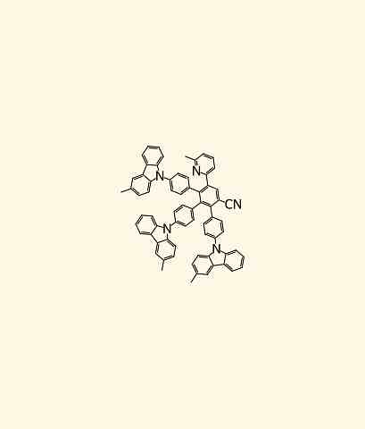 Cc1ccc2c(c1)c1ccccc1n2-c1ccc(-c2c(C#N)cc(-c3cccc(C)n3)c(-c3ccc(-n4c5ccccc5c5cc(C)ccc54)cc3)c2-c2ccc(-n3c4ccccc4c4cc(C)ccc43)cc2)cc1